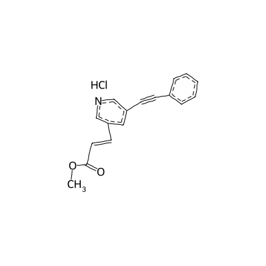 COC(=O)/C=C/c1cncc(C#Cc2ccccc2)c1.Cl